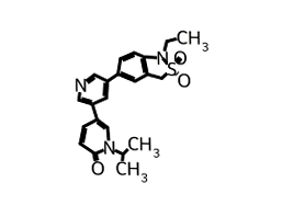 CCN1c2ccc(-c3cncc(-c4ccc(=O)n(C(C)C)c4)c3)cc2CS1(=O)=O